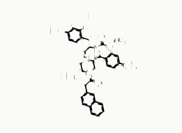 Cc1ccc(C[C@H](CN2C[C@@H](C)N(C(=O)Cc3ccc4ccccc4c3)C[C@@H]2Cc2ccc(C#N)cc2)NC(=O)OC(C)(C)C)c(C)c1